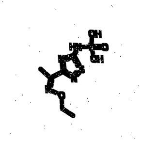 CCO/N=C(/C)c1nsc(NP(=O)(O)O)n1